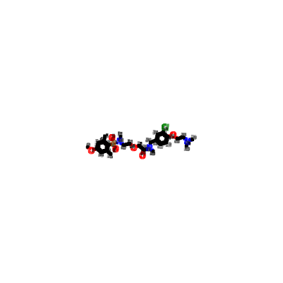 COc1cc(C)c(S(=O)(=O)N(C)CCOCC(=O)N(C)Cc2ccc(OCCN(C)C)c(Cl)c2)c(C)c1